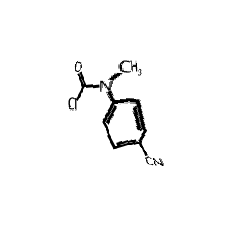 CN(C(=O)Cl)c1ccc(C#N)cc1